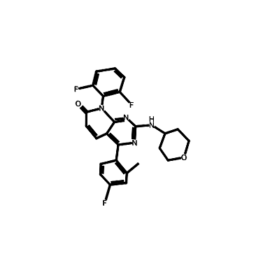 Cc1cc(F)ccc1-c1nc(NC2CCOCC2)nc2c1ccc(=O)n2-c1c(F)cccc1F